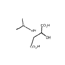 CCCN(C)C.O=C(O)CC(O)C(=O)O